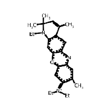 CCN1c2cc3oc4cc(=[N+](CC)CC)c(C)cc-4nc3cc2C(C)=CC1(C)C